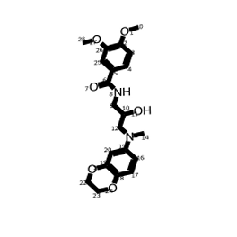 COc1ccc(C(=O)NCC(O)CN(C)c2ccc3c(c2)OCCO3)cc1OC